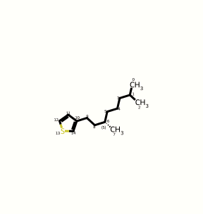 CC(C)CCC[C@H](C)CCc1ccsc1